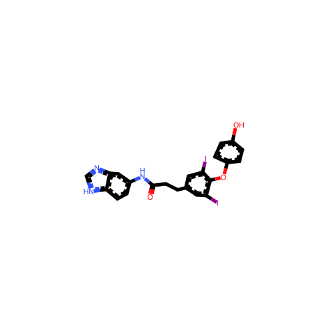 O=C(CCc1cc(I)c(Oc2ccc(O)cc2)c(I)c1)Nc1ccc2[nH]cnc2c1